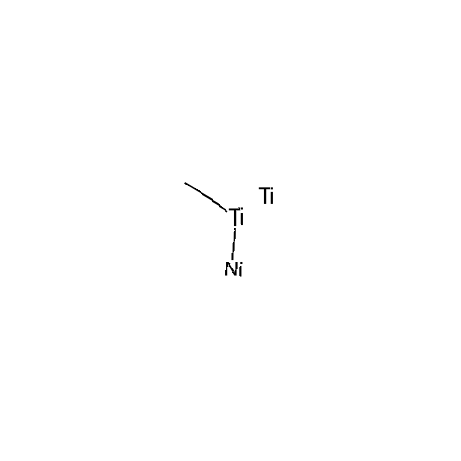 [CH3][Ti][Ni].[Ti]